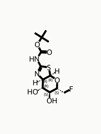 CC(C)(C)OC(=O)NC1=N[C@@H]2[C@@H](O)[C@H](O)[C@@H](CF)O[C@@H]2S1